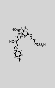 O=C(O)CCCOC1C[C@@H]2C[C@@H](O)[C@@H](CCC(O)COc3ccc(F)cc3)[C@@H]2C1